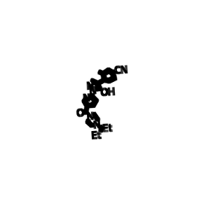 CCC(CC)N1CCN(C(=O)c2ccc(-n3ncc(-c4ccc(C#N)cc4C)c3O)nc2)CC1